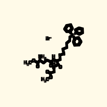 COC(=O)CNC(=O)C(CSSCCCCC[P+](c1ccccc1)(c1ccccc1)c1ccccc1)NC(=O)CCC(N)C(=O)OC.[Br-]